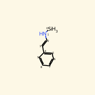 [SiH3]N/C=C/c1ccccc1